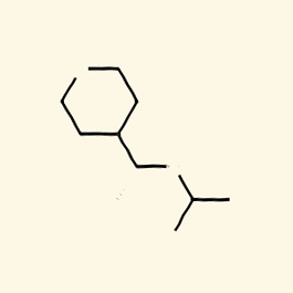 CC(C)O[C@H](C)C1CCOCC1